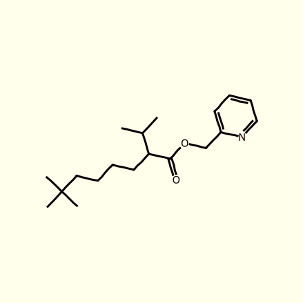 CC(C)C(CCCCC(C)(C)C)C(=O)OCc1ccccn1